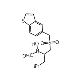 CC(C)CC(CS(=O)(=O)Cc1ccc2sccc2c1)N(O)C=O